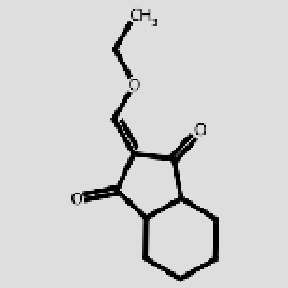 CCOC=C1C(=O)C2CCCCC2C1=O